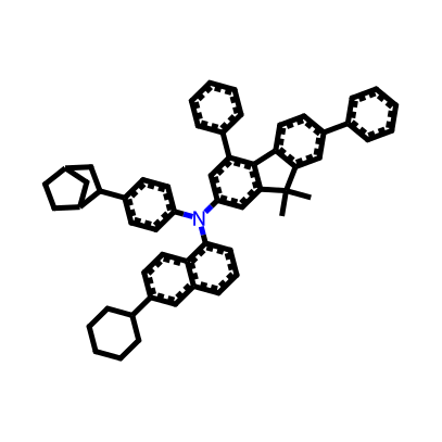 CC1(C)c2cc(-c3ccccc3)ccc2-c2c(-c3ccccc3)cc(N(c3ccc(C4CC5CCC4C5)cc3)c3cccc4cc(C5CCCCC5)ccc34)cc21